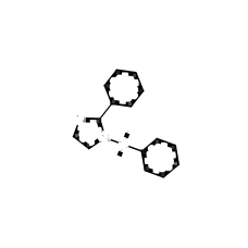 O=S(=O)(c1ccccc1)n1c[c]nc1-c1ccccc1